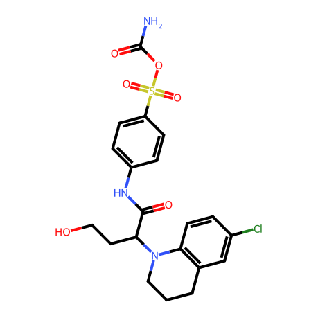 NC(=O)OS(=O)(=O)c1ccc(NC(=O)C(CCO)N2CCCc3cc(Cl)ccc32)cc1